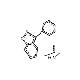 C=CC.CN.c1ccc(-c2noc3ccccc23)cc1